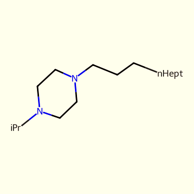 [CH2]CCCCCCCCCN1CCN(C(C)C)CC1